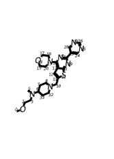 COCCN(C)C1CCN(Cc2cc3c(N4CCOCC4)nc(-c4cncnc4)nc3s2)CC1